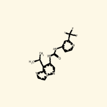 CC(C)c1c(NC(=O)Nc2ccnc(C(F)(F)F)c2)cnn2ccnc12